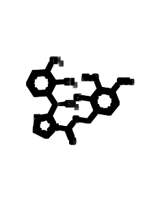 COc1ccc(COC(=O)n2ccnc2[C@@H](C)c2cccc(C)c2C)c(Cl)c1OC